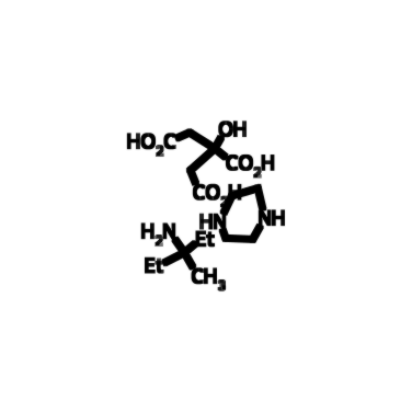 C1CNCCN1.CCC(C)(N)CC.O=C(O)CC(O)(CC(=O)O)C(=O)O